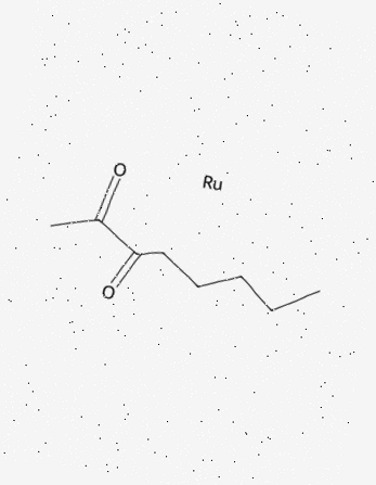 CCCCCC(=O)C(C)=O.[Ru]